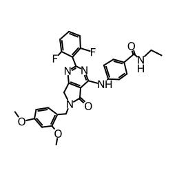 CCNC(=O)c1ccc(Nc2nc(-c3c(F)cccc3F)nc3c2C(=O)N(Cc2ccc(OC)cc2OC)C3)cc1